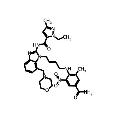 CCn1nc(C)cc1C(=O)Nc1nc2cccc(CN3CCOCC3)c2n1C/C=C/CNc1c(C)cc(C(N)=O)cc1[N+](=O)[O-]